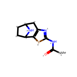 CNC(=O)Nc1nc2c(s1)C1CCC(C2)N1